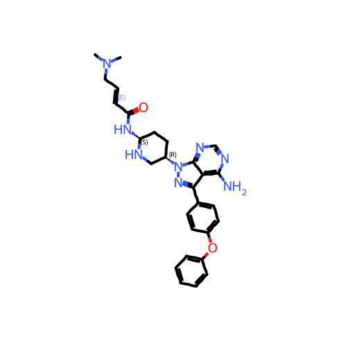 CN(C)C/C=C/C(=O)N[C@H]1CC[C@@H](n2nc(-c3ccc(Oc4ccccc4)cc3)c3c(N)ncnc32)CN1